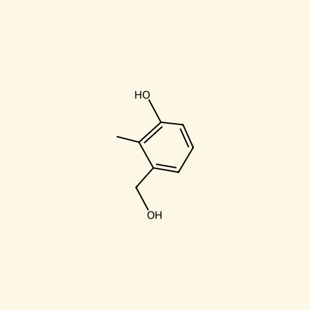 Cc1c(O)cccc1CO